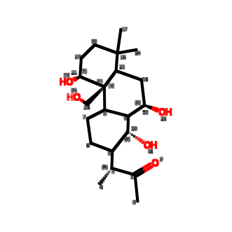 CC(=O)[C@H](C)C1CCC2C([C@@H]1O)[C@H](O)CC1C(C)(C)CC[C@H](O)[C@@]21CO